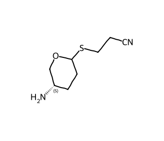 N#CCCSC1CC[C@H](N)CO1